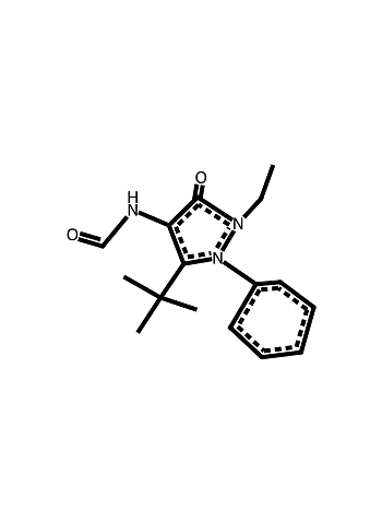 CCn1c(=O)c(NC=O)c(C(C)(C)C)n1-c1ccccc1